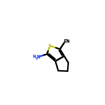 N#Cc1sc(N)c2c1CCC2